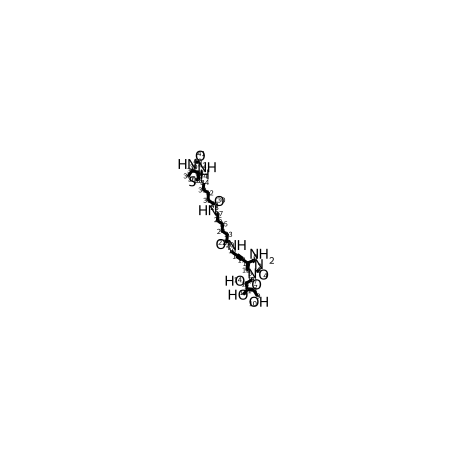 Nc1nc(=O)n([C@@H]2OC(CO)=C(O)C2O)cc1C#CCNC(=O)CCCCCNC(=O)CCCC[C@@H]1SCC2NC(=O)N[C@@H]21